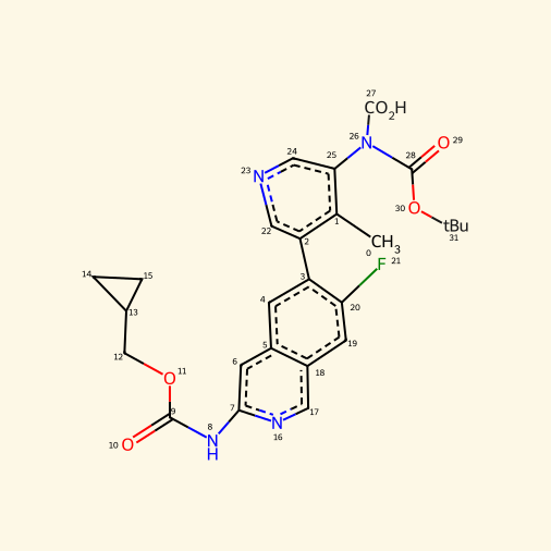 Cc1c(-c2cc3cc(NC(=O)OCC4CC4)ncc3cc2F)cncc1N(C(=O)O)C(=O)OC(C)(C)C